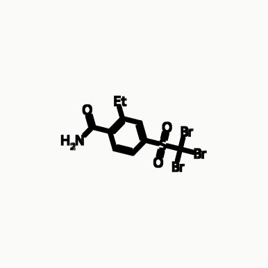 CCc1cc(S(=O)(=O)C(Br)(Br)Br)ccc1C(N)=O